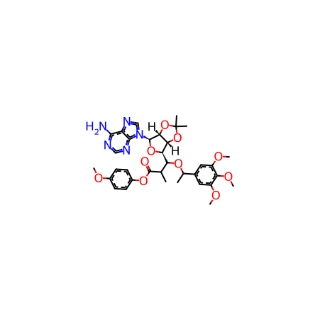 COc1ccc(OC(=O)C(C)C(OC(C)c2cc(OC)c(OC)c(OC)c2)[C@H]2O[C@@H](n3cnc4c(N)ncnc43)[C@@H]3OC(C)(C)O[C@@H]32)cc1